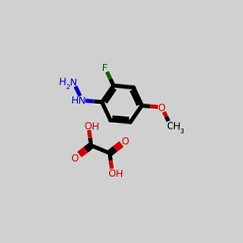 COc1ccc(NN)c(F)c1.O=C(O)C(=O)O